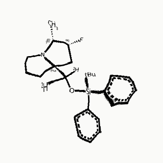 [2H]C([2H])(O[Si](c1ccccc1)(c1ccccc1)C(C)(C)C)[C@@]12CCCN1[C@H](C)[C@H](F)C2